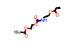 C=CC(=O)OCCNC(=O)OCCOC(=O)C(C)(C)C